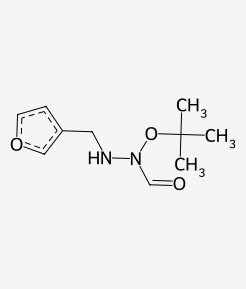 CC(C)(C)ON(C=O)NCc1ccoc1